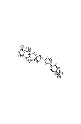 CN1C=NC2N=C(N)N(Cc3nc([C@@H]4CO[C@@H](c5ccc(S(F)(F)(F)(F)F)cc5)C4)no3)C(=O)C21